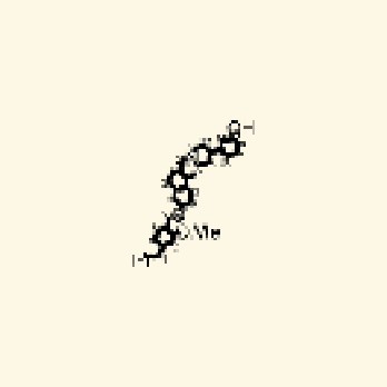 COc1cc(CC(C)C)ccc1COc1ccc2c(c1)CCC(CN1CCC(c3cccc(O)c3)CC1)=C2C